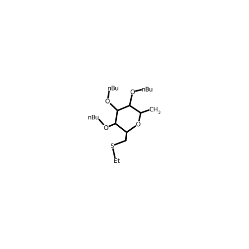 CCCCOC1C(C)OC(CSCC)C(OCCCC)C1OCCCC